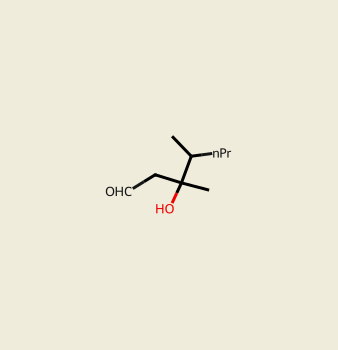 CCCC(C)C(C)(O)CC=O